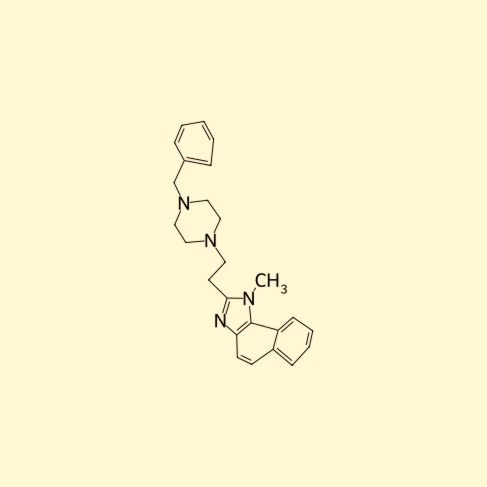 Cn1c(CCN2CCN(Cc3ccccc3)CC2)nc2ccc3ccccc3c21